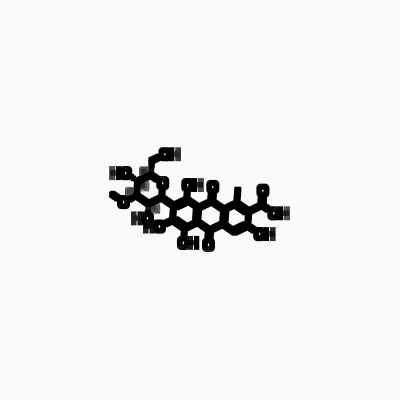 CO[C@H]1[C@H](O)[C@@H](CO)OC(c2c(O)c(O)c3c(c2O)C(=O)c2c(cc(O)c(C(=O)O)c2C)C3=O)[C@@H]1O